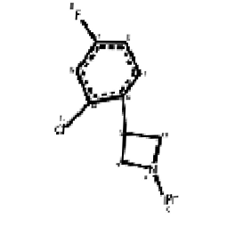 CC(C)N1CC(c2ccc(F)cc2Cl)C1